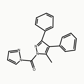 Cc1c(-c2ccccc2)c(-c2ccccc2)nn1C(=O)n1cccn1